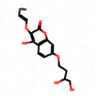 CCCCCCC=COc1c(O)c2ccc(OCCC(O)CO)cc2oc1=O